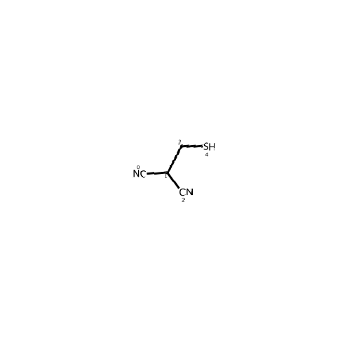 N#CC(C#N)CS